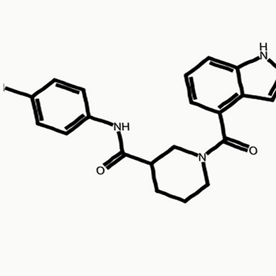 O=C(Nc1ccc(Cl)cc1)C1CCCN(C(=O)c2cccc3[nH]ncc23)C1